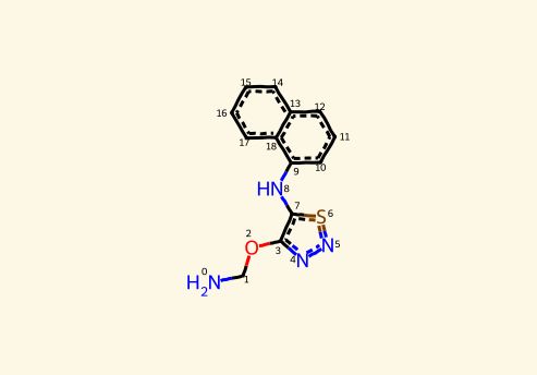 NCOc1nnsc1Nc1cccc2ccccc12